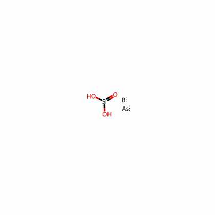 O=[Si](O)O.[As].[B]